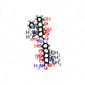 C=C[C@H]1c2ccc(NC(=O)C3=C(O)[C@@H](N(C)C)[C@@H]4C[C@H]5C(=C(O)[C@]4(O)C3=O)C(=O)c3c(O)cccc3[C@@H]5c3ccccn3)c(O)c2C(=O)C2=C(O)[C@]3(O)C(=O)C(C(N)=O)=C(O)[C@@H](N(C)C)[C@@H]3C[C@@H]21